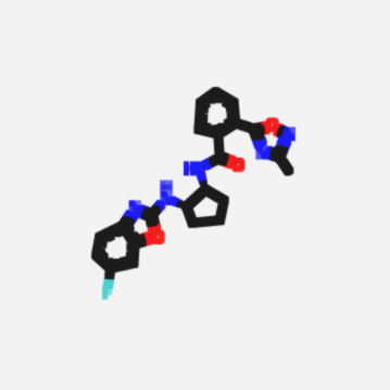 Cc1noc(-c2ccccc2C(=O)N[C@H]2CCC[C@H]2Nc2nc3ccc(F)cc3o2)n1